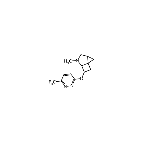 CN1CC2CC23CC(Oc2ccc(C(F)(F)F)nn2)C13